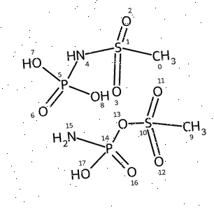 CS(=O)(=O)NP(=O)(O)O.CS(=O)(=O)OP(N)(=O)O